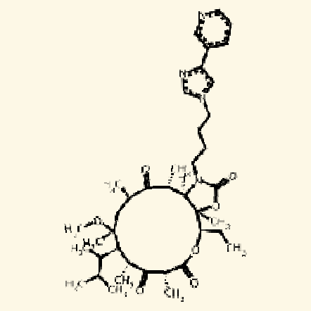 CC[C@H]1OC(=O)[C@H](C)C(=O)[C@H](C)[C@@H](C(C)C(C)C)[C@](C)(OC)C[C@@H](C)C(=O)[C@H](C)[C@H]2N(CCCCn3cnc(-c4cccnc4)c3)C(=O)O[C@]12C